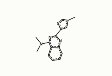 Cc1csc(-c2nc(N(C)C)c3ccccc3n2)c1